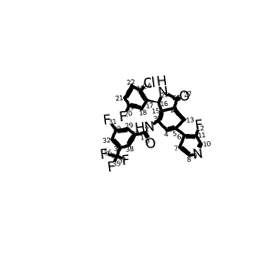 O=C(Nc1cc(-c2ccncc2F)cc2c1[C@@H](c1cc(F)ccc1Cl)NC2=O)c1cc(F)cc(C(F)(F)F)c1